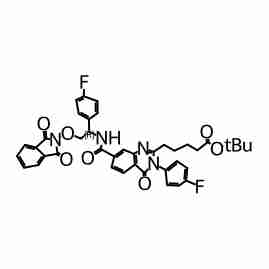 CC(C)(C)OC(=O)CCCCc1nc2cc(C(=O)N[C@@H](CON3C(=O)c4ccccc4C3=O)c3ccc(F)cc3)ccc2c(=O)n1-c1ccc(F)cc1